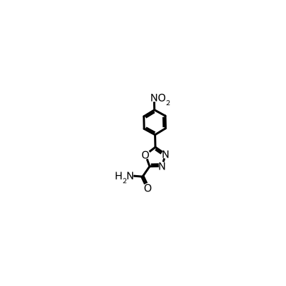 NC(=O)c1nnc(-c2ccc([N+](=O)[O-])cc2)o1